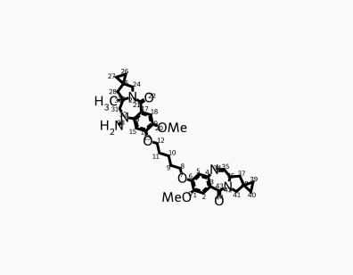 COc1cc2c(cc1OCCCCCOc1cc3c(cc1OC)C(=O)N1CC4(CC4)C[C@@]1(C)CN3N)N=CC1CC3(CC3)CN1C2=O